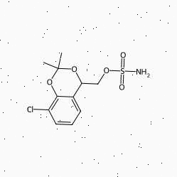 CC1(C)Oc2c(Cl)cccc2C(COS(N)(=O)=O)O1